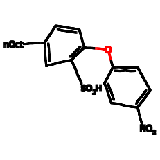 CCCCCCCCc1ccc(Oc2ccc([N+](=O)[O-])cc2)c(S(=O)(=O)O)c1